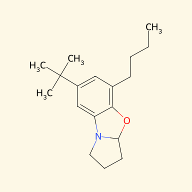 CCCCc1cc(C(C)(C)C)cc2c1OC1CCCN21